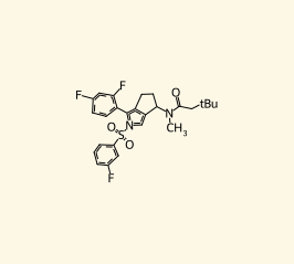 CN(C(=O)CC(C)(C)C)C1CCc2c1cn(S(=O)(=O)c1cccc(F)c1)c2-c1ccc(F)cc1F